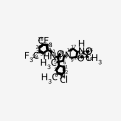 Cc1cc(C(C)(CCN2CCC(NS(C)(=O)=O)CC2)C(=O)NCc2cc(C(F)(F)F)cc(C(F)(F)F)c2)ccc1Cl